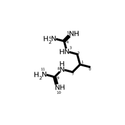 CC(CNC(=N)N)CNC(=N)N